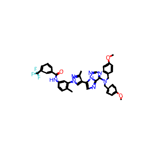 COc1ccc(CN(Cc2ccc(OC)cc2)c2ncnn3c(-c4cn(-c5cc(NC(=O)c6cccc(C(F)(F)F)c6)ccc5C)nc4C)cnc23)cc1